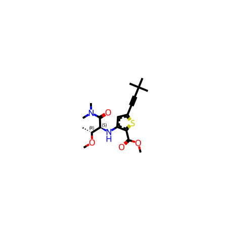 COC(=O)c1sc(C#CC(C)(C)C)cc1N[C@H](C(=O)N(C)C)[C@@H](C)OC